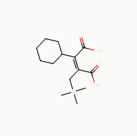 C[Si](C)(C)CC(C(=O)O)=C(C(=O)O)C1CCCCC1